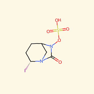 O=C1N(OS(=O)(=O)O)C2CC[C@@H](I)N1C2